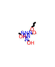 CCCCOCN(COC)c1nc(N(C)CO)nc(N(C)C(C)O)n1